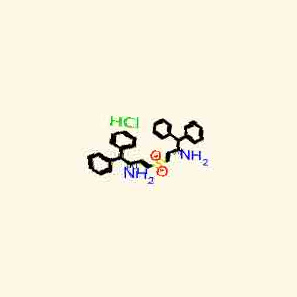 Cl.N[C@@H](C=CS(=O)(=O)C=C[C@H](N)C(c1ccccc1)c1ccccc1)C(c1ccccc1)c1ccccc1